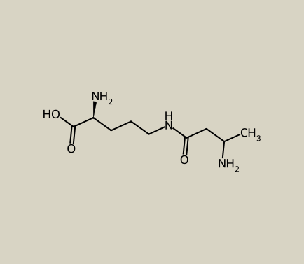 CC(N)CC(=O)NCCC[C@H](N)C(=O)O